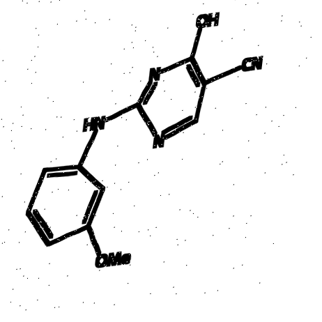 COc1cccc(Nc2ncc(C#N)c(O)n2)c1